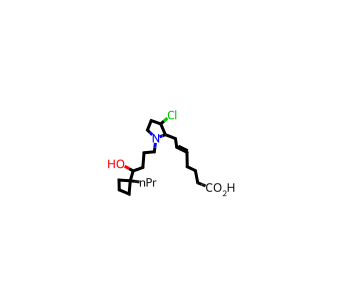 CCCC1(C(O)CCCN2CCC(Cl)C2CC=CCCCC(=O)O)CCC1